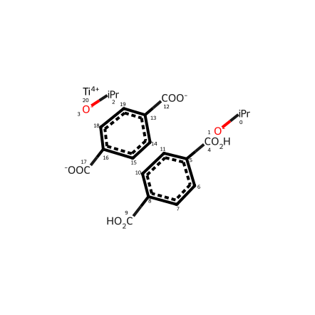 CC(C)[O-].CC(C)[O-].O=C(O)c1ccc(C(=O)O)cc1.O=C([O-])c1ccc(C(=O)[O-])cc1.[Ti+4]